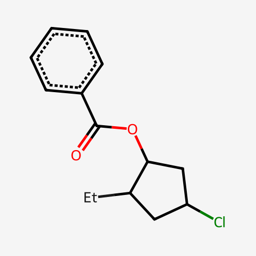 CCC1CC(Cl)CC1OC(=O)c1ccccc1